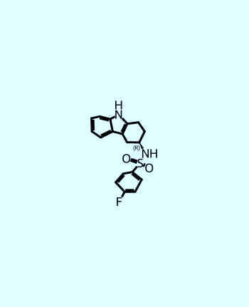 O=S(=O)(N[C@@H]1CCc2[nH]c3ccccc3c2C1)c1ccc(F)cc1